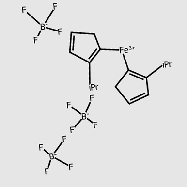 CC(C)C1=[C]([Fe+3][C]2=C(C(C)C)C=CC2)CC=C1.F[B-](F)(F)F.F[B-](F)(F)F.F[B-](F)(F)F